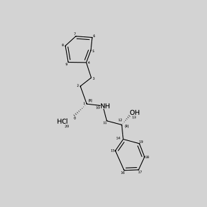 C[C@H](CCc1ccccc1)NC[C@H](O)c1ccccc1.Cl